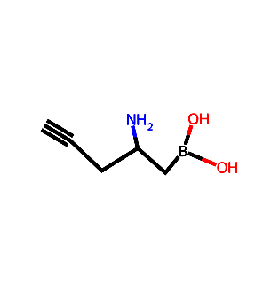 C#CCC(N)CB(O)O